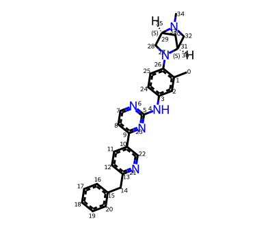 Cc1cc(Nc2nccc(-c3ccc(Cc4ccccc4)nc3)n2)ccc1N1C[C@@H]2C[C@H]1CN2C